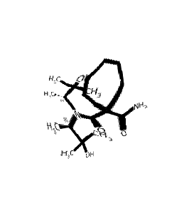 C[C@@H](N(C(=O)C1(C(N)=O)CCCCC1)[C@H](C)C(C)(C)O)C(C)(C)O